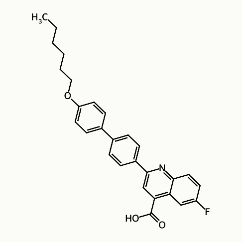 CCCCCCOc1ccc(-c2ccc(-c3cc(C(=O)O)c4cc(F)ccc4n3)cc2)cc1